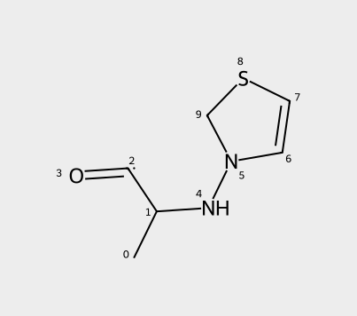 CC([C]=O)NN1C=CSC1